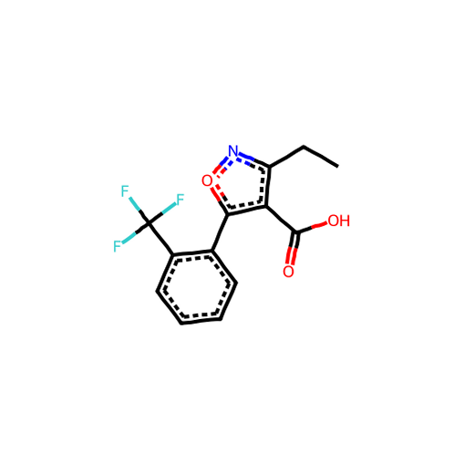 CCc1noc(-c2ccccc2C(F)(F)F)c1C(=O)O